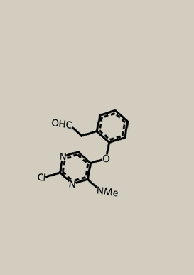 CNc1nc(Cl)ncc1Oc1ccccc1CC=O